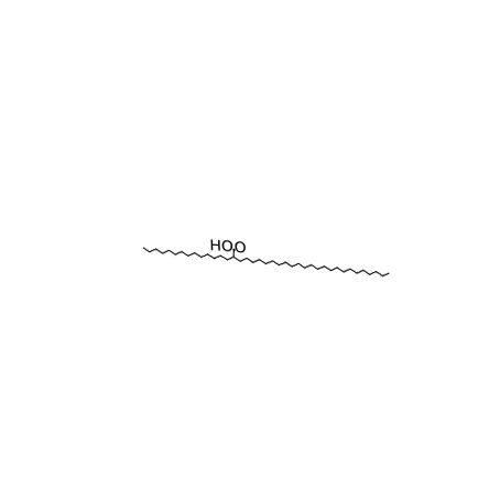 CCCCCCCCCCCCCCCCCCCCCCCCC(CCCCCCCCCCCCCC)C(=O)O